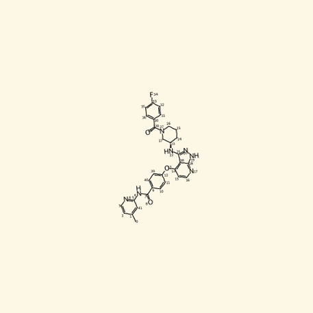 Cc1ccnc(NC(=O)c2ccc(Oc3ccnc4[nH]nc(N[C@@H]5CCCN(C(=O)c6ccc(F)cc6)C5)c34)cc2)c1